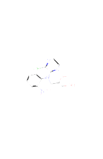 O=[N+]([O-])c1ccccc1N(CC(O)CO)c1nccnc1Cl